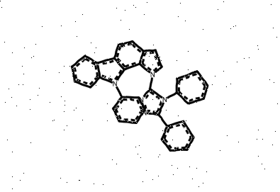 c1ccc(-c2nnc(-n3ccc4ccc5c6ccccc6n(-c6ccccc6)c5c43)n2-c2ccccc2)cc1